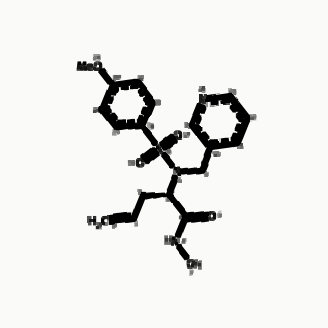 C=CC[C@H](C(=O)NO)N(Cc1cccnc1)S(=O)(=O)c1ccc(OC)cc1